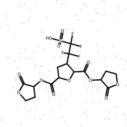 O=C1OCCC1OC(=O)C1CC(C(F)(F)C(F)(F)S(=O)(=O)O)C(C(=O)OC2CCOC2=O)O1